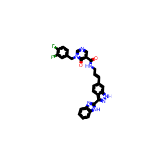 O=C(NC/C=C/c1ccc2c(-c3nc4ccccc4[nH]3)n[nH]c2c1)c1cncn(Cc2ccc(F)c(F)c2)c1=O